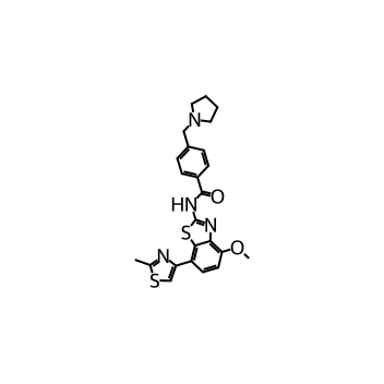 COc1ccc(-c2csc(C)n2)c2sc(NC(=O)c3ccc(CN4CCCC4)cc3)nc12